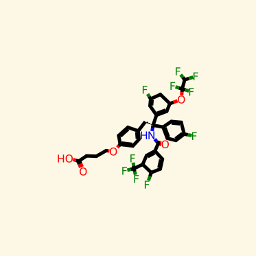 O=C(O)CCCOc1ccc(C[C@](NC(=O)C2=CC(C(F)(F)F)C(F)C=C2)(C2=CC(OC(F)(F)C(F)F)CC(F)=C2)c2ccc(F)cc2)cc1